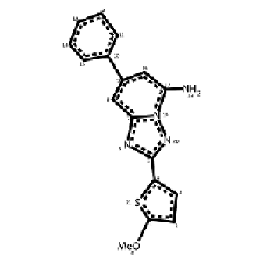 COc1ccc(-c2nc3cc(-c4ccccc4)cc(N)n3n2)s1